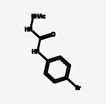 CC(=O)NNC(=O)Nc1ccc(Br)cc1